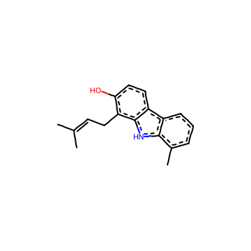 CC(C)=CCc1c(O)ccc2c1[nH]c1c(C)cccc12